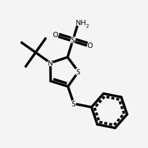 CC(C)(C)N1C=C(Sc2ccccc2)SC1S(N)(=O)=O